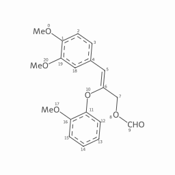 COc1ccc(/C=C(/COC=O)Oc2ccccc2OC)cc1OC